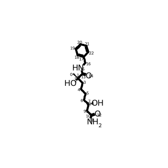 C[C@](O)(CCCC[C@H](O)[CH]C(N)=O)C(=O)NCc1ccccc1